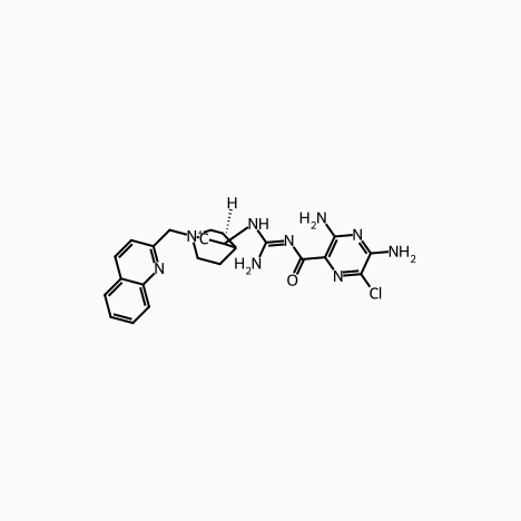 N/C(=N\C(=O)c1nc(Cl)c(N)nc1N)N[C@@H]1C[N+]2(Cc3ccc4ccccc4n3)CCC1CC2